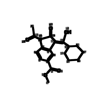 COC(=O)c1ccc2c(c1)/C(=C(/O)C1CCCCC1)C(=O)N2C(C)=O